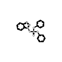 O=P(Oc1ccccc1)(Oc1ccccc1)On1nnc2ccccc21